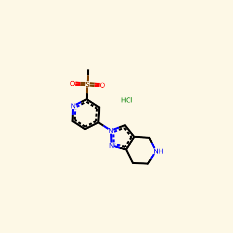 CS(=O)(=O)c1cc(-n2cc3c(n2)CCNC3)ccn1.Cl